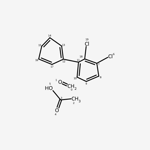 C=O.CC(=O)O.Clc1cccc(-c2ccccc2)c1Cl